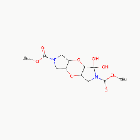 CC(C)(C)OC(=O)N1CC2OC3CN(C(=O)OC(C)(C)C)C(O)(O)C3OC2C1